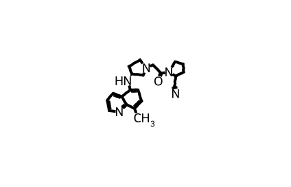 Cc1ccc(N[C@@H]2CCN(CC(=O)N3CCCC3C#N)C2)c2cccnc12